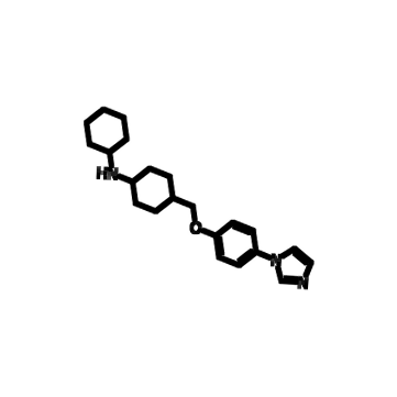 c1cn(-c2ccc(OCC3CCC(NC4CCCCC4)CC3)cc2)cn1